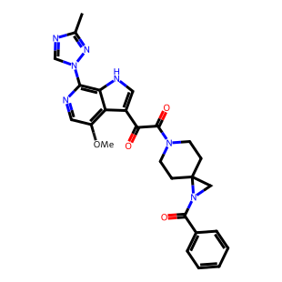 COc1cnc(-n2cnc(C)n2)c2[nH]cc(C(=O)C(=O)N3CCC4(CC3)CN4C(=O)c3ccccc3)c12